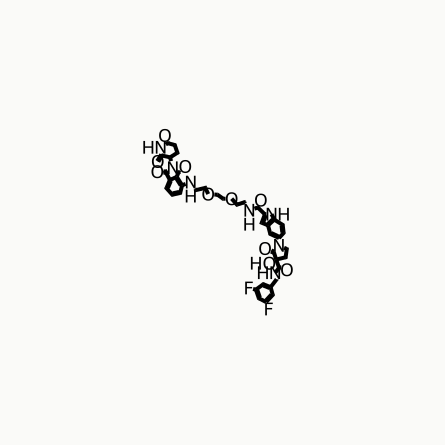 O=C1CCC(N2C(=O)c3cccc(NCCOCCOCCNC(=O)c4cc5cc(N6CCC(O)(C(=O)NCc7cc(F)cc(F)c7)C6=O)ccc5[nH]4)c3C2=O)C(=O)N1